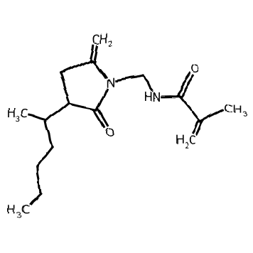 C=C(C)C(=O)NCN1C(=C)CC(C(C)CCCC)C1=O